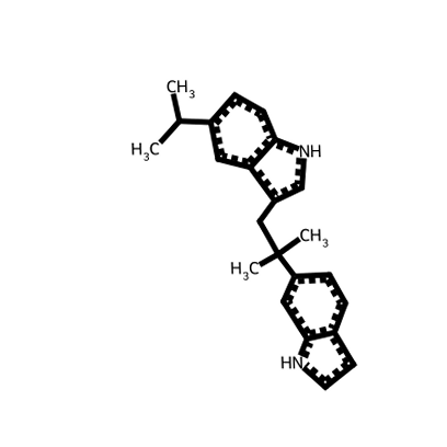 CC(C)c1ccc2[nH]cc(CC(C)(C)c3ccc4cc[nH]c4c3)c2c1